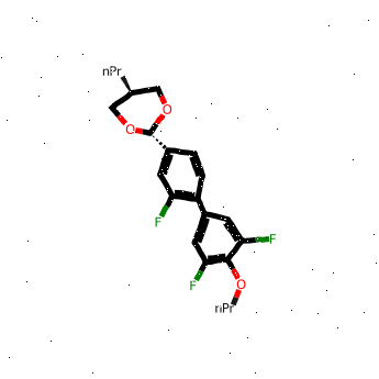 CCCOc1c(F)cc(-c2ccc([C@H]3OC[C@H](CCC)CO3)cc2F)cc1F